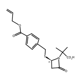 C=CCOC(=O)c1ccc(CS[C@@H]2CC(=O)N2C(C)(C)C(=O)O)cc1